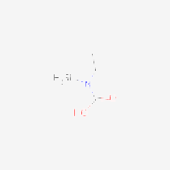 CCN([SiH3])C(=O)O